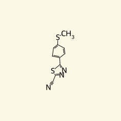 CSc1ccc(-c2nnc(C#N)s2)cc1